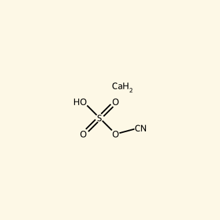 N#COS(=O)(=O)O.[CaH2]